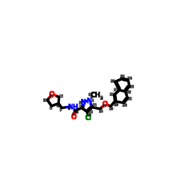 Cn1nc(C(=O)NCC2CCOC2)c(Cl)c1COCc1ccc2ccccc2c1